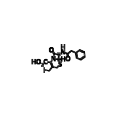 O=C(Cc1ccccc1)N[C@H]1C(=O)N2C(C(=O)O)=C(CI)CS[C@@H]12